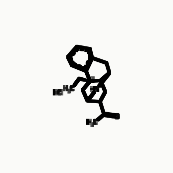 CC[C@@]12CC3NC(Cc4ccccc41)C2CC3C(C)=O.Cl